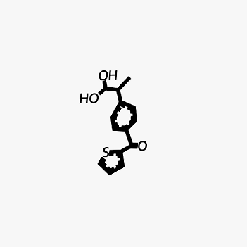 CC(c1ccc(C(=O)c2cccs2)cc1)C(O)O